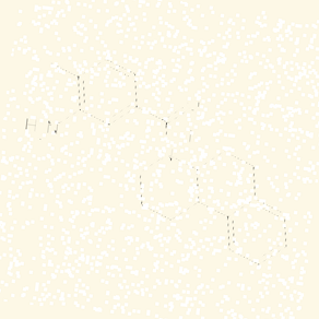 Cc1ccc(C(=O)N2CCCC3c4ccccc4CC[C@@H]32)cc1N